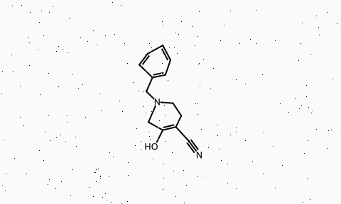 N#CC1=C(O)CN(Cc2ccccc2)CC1